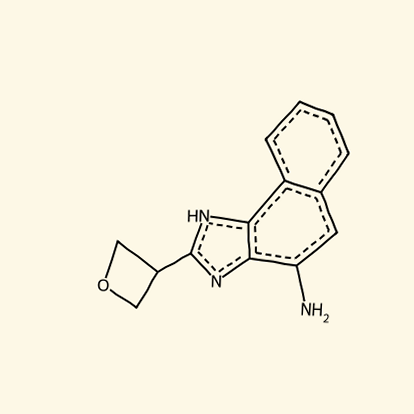 Nc1cc2ccccc2c2[nH]c(C3COC3)nc12